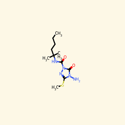 CCCCC(C)(C)NC(=O)n1nc(SC)n(N)c1=O